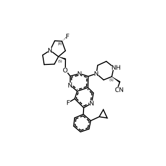 N#CC[C@H]1CN(c2nc(OC[C@@]34CCCN3C[C@H](F)C4)nc3c(F)c(-c4ccccc4C4CC4)ncc23)CCN1